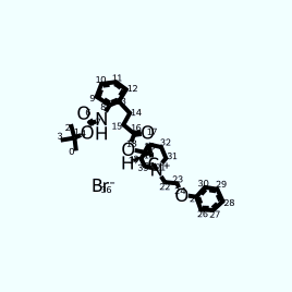 CC(C)(C)OC(=O)Nc1ccccc1CCC(=O)O[C@H]1C[N+]2(CCOc3ccccc3)CCC1CC2.[Br-]